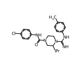 Cc1ccc(NC(=N)N2CCN(C(=O)Nc3ccc(Cl)cc3)CC2C(C)C)cc1